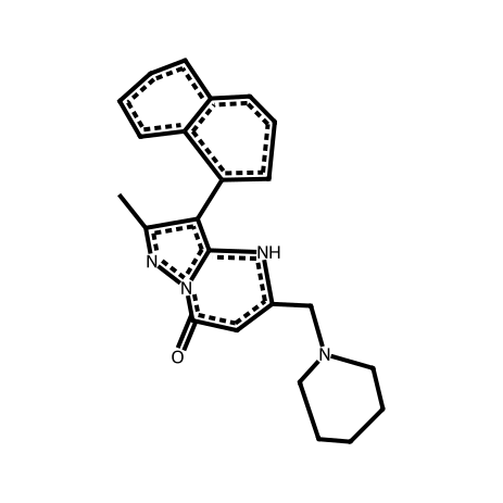 Cc1nn2c(=O)cc(CN3CCCCC3)[nH]c2c1-c1cccc2ccccc12